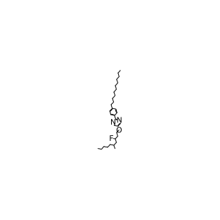 CCCCCCCCCCCCc1ccc(-c2ncc(OCCC(F)CC(C)CCCCC)cn2)cc1